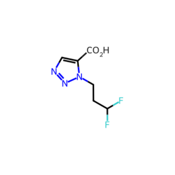 O=C(O)c1cnnn1CCC(F)F